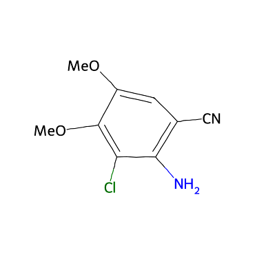 COc1cc(C#N)c(N)c(Cl)c1OC